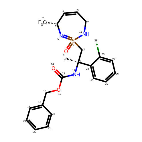 C[C@@](CS1(=O)=N[C@H](C(F)(F)F)C=CCN1)(NC(=O)OCc1ccccc1)c1ccccc1F